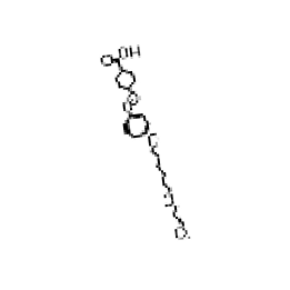 COCCCOCCCCCCOC1=CC=C(OOC2CCC(C(=O)O)CC2)C#CC1